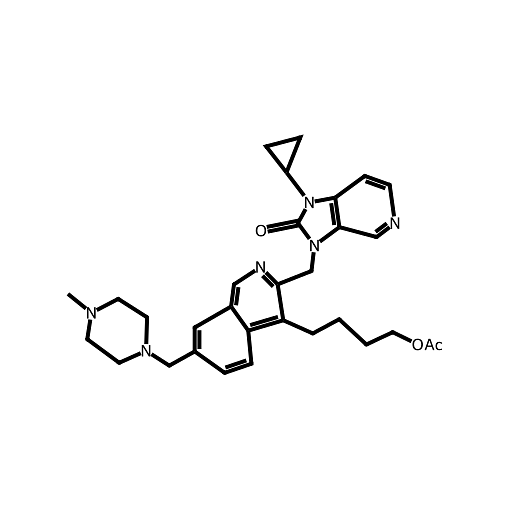 CC(=O)OCCCCc1c(Cn2c(=O)n(C3CC3)c3ccncc32)ncc2cc(CN3CCN(C)CC3)ccc12